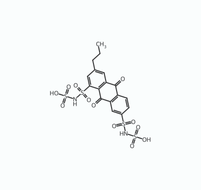 CCCc1cc2c(c(S(=O)(=O)NS(=O)(=O)O)c1)C(=O)c1cc(S(=O)(=O)NS(=O)(=O)O)ccc1C2=O